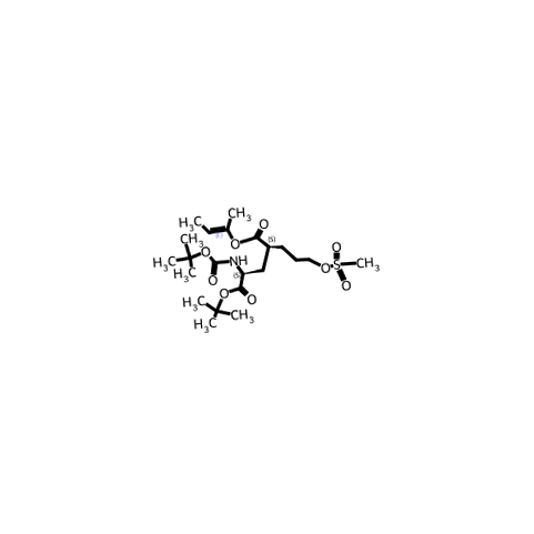 C/C=C(\C)OC(=O)[C@@H](CCCOS(C)(=O)=O)C[C@H](NC(=O)OC(C)(C)C)C(=O)OC(C)(C)C